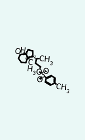 Cc1ccc(S(=O)(=O)OCCC(C)[C@H]2CC[C@H]3C(=O)CCC[C@]23C)cc1